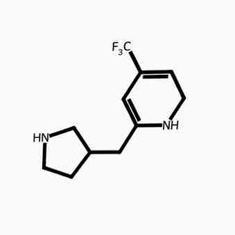 FC(F)(F)C1=CCNC(CC2CCNC2)=C1